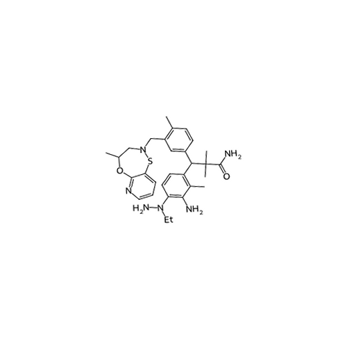 CCN(N)c1ccc(C(c2ccc(C)c(CN3CC(C)Oc4ncccc4S3)c2)C(C)(C)C(N)=O)c(C)c1N